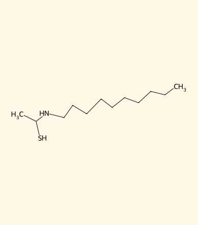 CCCCCCCCCCNC(C)S